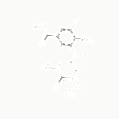 COC(=O)c1cc(F)c([N+](=O)[O-])c(OCCN(CC(F)(F)F)C(=O)OC(C)(C)C)c1